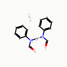 O=C[N]([Hf+2][N](C=O)c1ccccc1)c1ccccc1.[F-].[F-]